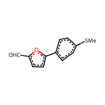 CSc1ccc(-c2ccc(C=O)o2)cc1